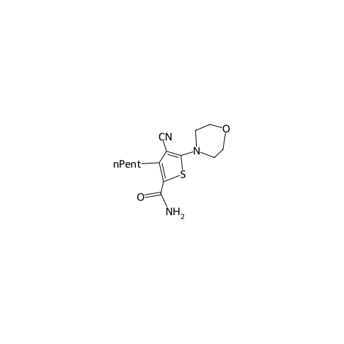 CCCCCc1c(C(N)=O)sc(N2CCOCC2)c1C#N